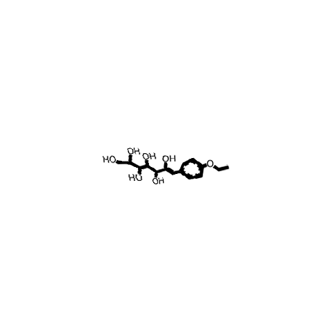 CCOc1ccc(C=C(O)C(O)C(O)C(O)C(O)CO)cc1